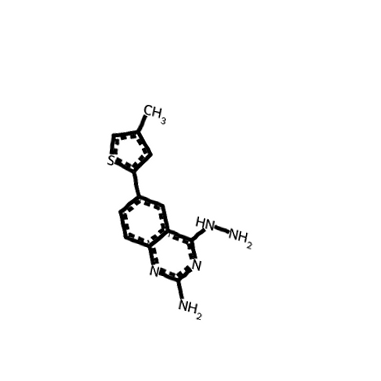 Cc1csc(-c2ccc3nc(N)nc(NN)c3c2)c1